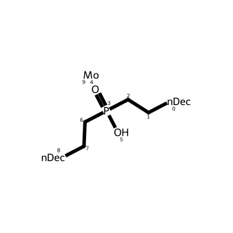 CCCCCCCCCCCCP(=O)(O)CCCCCCCCCCCC.[Mo]